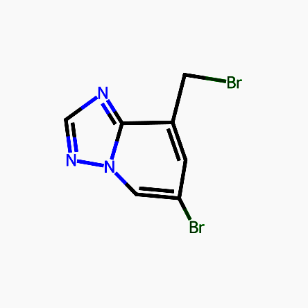 BrCc1cc(Br)cn2ncnc12